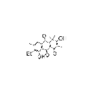 CCc1c(C)cc2c(c1O)C(=O)C1=C(C2=O)C(C)(C)C(O)=C(C)C1=O